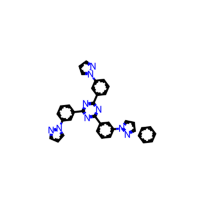 c1cc(-c2nc(-c3cccc(-n4cccn4)c3)nc(-c3cccc(-n4cccn4)c3)n2)cc(-n2cccn2)c1.c1ccccc1